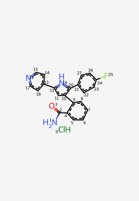 Cl.NC(=O)c1ccccc1-c1cc(-c2ccncc2)[nH]c1-c1ccc(F)cc1